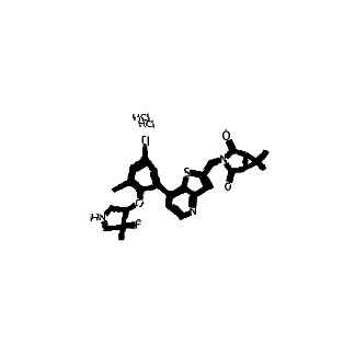 Cc1cc(Cl)cc(-c2ccnc3cc(CN4C(=O)C5C(C4=O)C5(C)C)sc23)c1OC1CNCC1(C)F.Cl.Cl